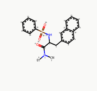 CCN(C#N)C(=O)C(Cc1ccc2ccccc2c1)NS(=O)(=O)c1ccccc1